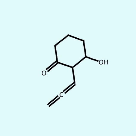 C=C=CC1C(=O)CCCC1O